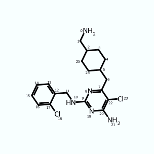 NCC1CCC(Cc2nc(NCc3ccccc3Cl)nc(N)c2Cl)CC1